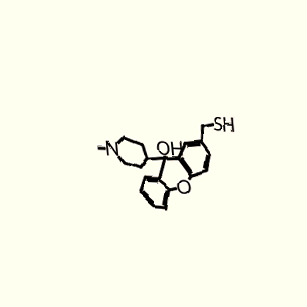 CN1CCC(C2(O)c3ccccc3Oc3ccc(CS)cc32)CC1